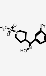 CC(C)c1cccc(C(=NO)C2CCN(S(C)(=O)=O)CC2)c1